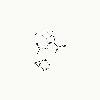 CC(=O)NC1=C(C(=O)O)S[C@@H]2CC(=O)N12.c1ccc2c(c1)O2